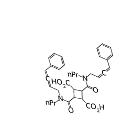 CCCN(CC=C=Cc1ccccc1)C(=O)C1C(C(=O)O)C(C(=O)N(CC=C=Cc2ccccc2)CCC)C1C(=O)O